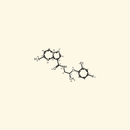 CCc1cc(F)ccc1O[C@@H](C)CNC(=O)c1cnn2ccc(N)nc12